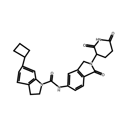 O=C1CCC(N2Cc3cc(NC(=O)N4CCc5ccc(C6CCC6)cc54)ccc3C2=O)C(=O)N1